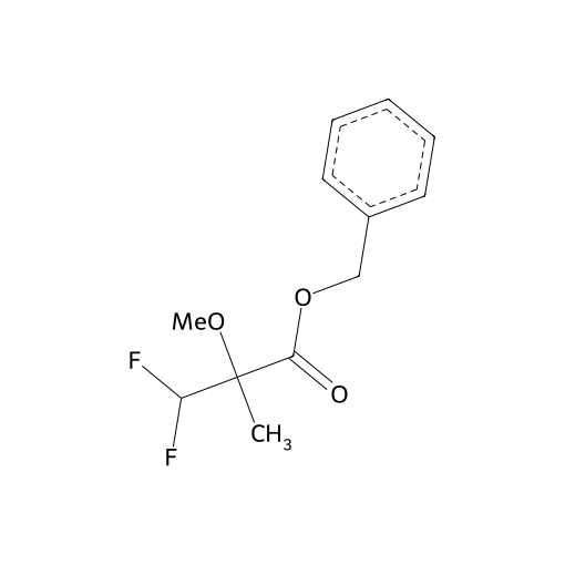 COC(C)(C(=O)OCc1ccccc1)C(F)F